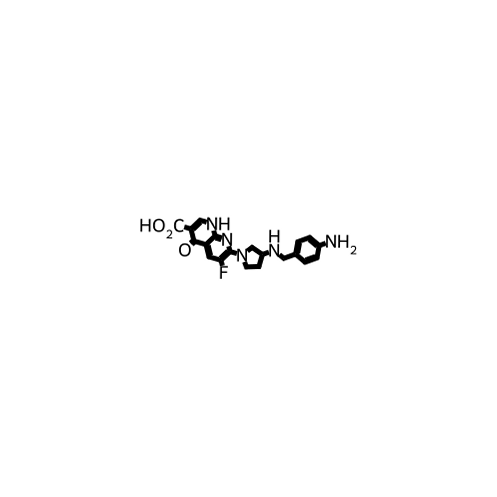 Nc1ccc(CNC2CCN(c3nc4[nH]cc(C(=O)O)c(=O)c4cc3F)C2)cc1